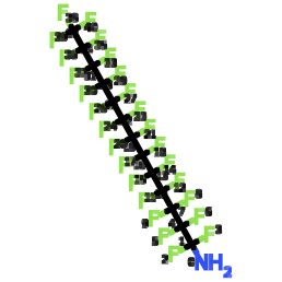 NC(F)(F)C(F)(F)C(F)(F)C(F)(F)C(F)(F)C(F)(F)C(F)(F)C(F)(F)C(F)(F)C(F)(F)C(F)(F)C(F)(F)C(F)(F)F